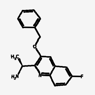 C[C@H](N)c1nc2ccc(F)cc2cc1OCc1ccccc1